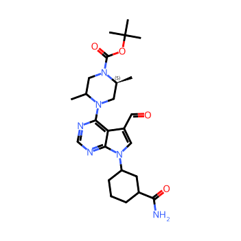 CC1CN(C(=O)OC(C)(C)C)[C@@H](C)CN1c1ncnc2c1c(C=O)cn2C1CCCC(C(N)=O)C1